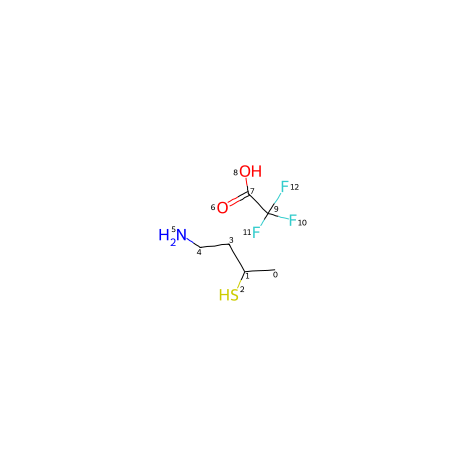 CC(S)CCN.O=C(O)C(F)(F)F